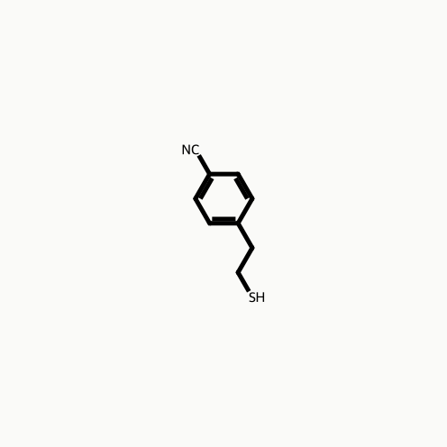 N#Cc1ccc(CCS)cc1